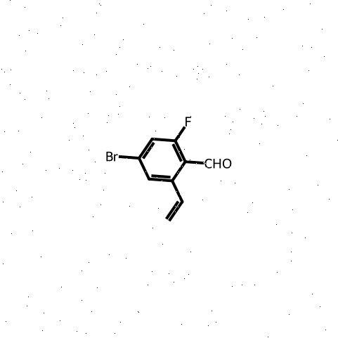 C=Cc1cc(Br)cc(F)c1C=O